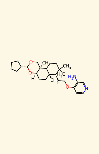 CC1(C)CCC2[C@]3(C)CO[C@@H](C4CCCC4)O[C@@H]3CC[C@@]2(C)[C@@H]1CCOc1ccncc1N